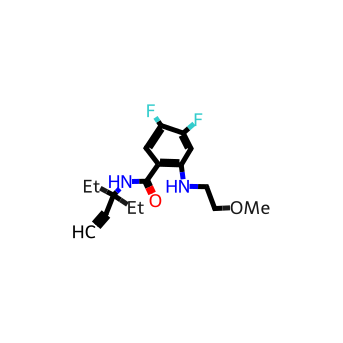 C#CC(CC)(CC)NC(=O)c1cc(F)c(F)cc1NCCOC